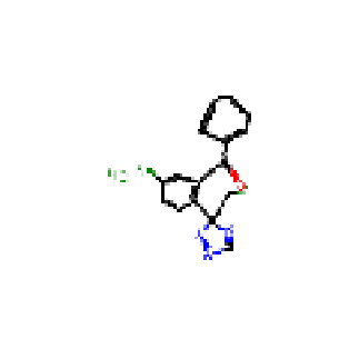 Cl.O=C(c1ccccc1)c1cc(Cl)ccc1C1(CCl)N=CN=N1